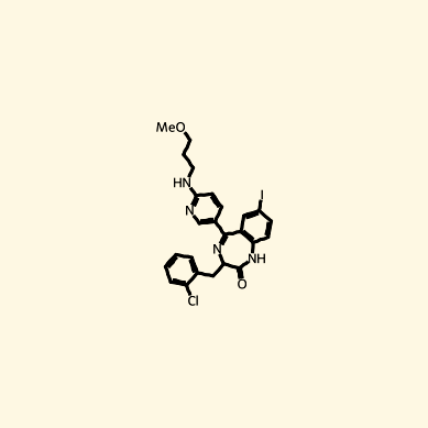 COCCCNc1ccc(C2=NC(Cc3ccccc3Cl)C(=O)Nc3ccc(I)cc32)cn1